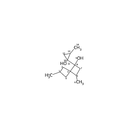 CC1CC2(C1)C(C)CC2(O)C1(O)CC1C